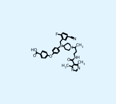 Cc1ncnc(C)c1C(=O)NCCC(C)N1CCC(N(Cc2cc(C#N)ccc2F)c2ccc(Oc3ccc(C(=O)O)cc3)cc2)CC1